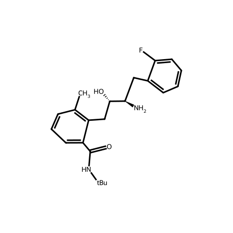 Cc1cccc(C(=O)NC(C)(C)C)c1C[C@H](O)[C@H](N)Cc1ccccc1F